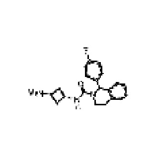 CN[C@H]1C[C@H](NC(=O)N2CCc3ccccc3[C@@H]2c2ccc(F)cc2)C1